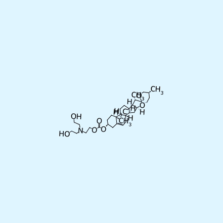 C[C@H]1CC[C@]2(OC1)O[C@H]1C[C@H]3[C@@H]4CC=C5C[C@@H](OC(=O)OCCN(CCO)CCO)CC[C@]5(C)[C@H]4CC[C@]3(C)[C@H]1[C@@H]2C